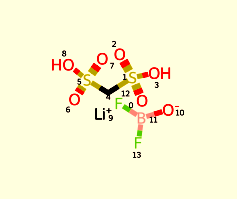 O=S(=O)(O)CS(=O)(=O)O.[Li+].[O-]B(F)F